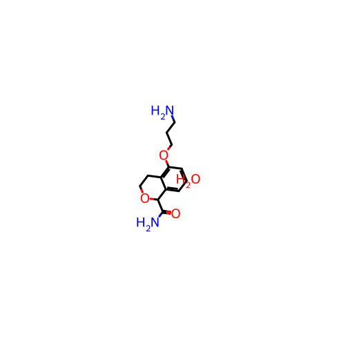 NCCCOc1cccc2c1CCOC2C(N)=O.O